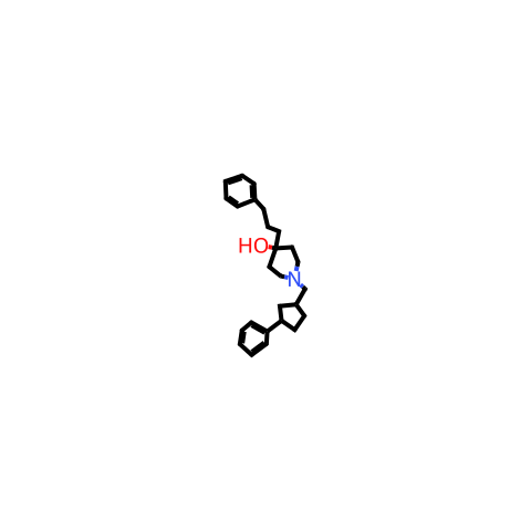 OC1(CCCc2ccccc2)CCN(CC2CCC(c3ccccc3)C2)CC1